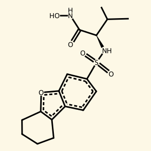 CC(C)[C@@H](NS(=O)(=O)c1ccc2c3c(oc2c1)CCCC3)C(=O)NO